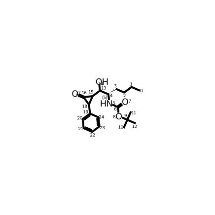 CCCC[C@H](NC(=O)OC(C)(C)C)C(O)C1C(=O)C1c1ccccc1